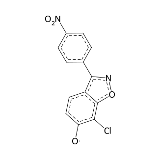 [O]c1ccc2c(-c3ccc([N+](=O)[O-])cc3)noc2c1Cl